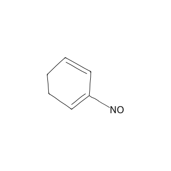 O=NC1=CCCC=C1